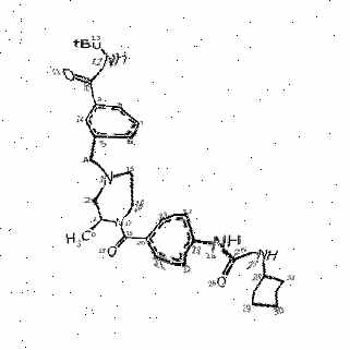 C[C@H]1CN(Cc2cccc(C(=O)NC(C)(C)C)c2)CCN1C(=O)c1ccc(NC(=O)NC2CCC2)cc1